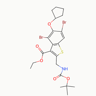 CCOC(=O)c1c(CNC(=O)OC(C)(C)C)sc2cc(Br)c(OC3CCCC3)c(Br)c12